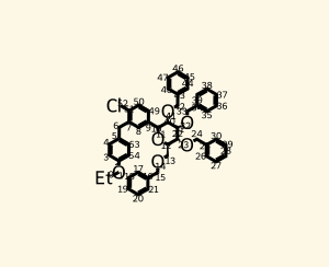 CCOc1ccc(Cc2cc(C3O[C@H](COCc4ccccc4)[C@@H](OCc4ccccc4)[C@H](OCc4ccccc4)[C@H]3OCc3ccccc3)ccc2Cl)cc1